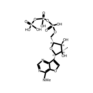 CNc1ncnc2c([C@@H]3O[C@H](COP(=O)(O)OP(=O)(O)OP(=O)(O)O)[C@@H](O)[C@@]3(C)O)coc12